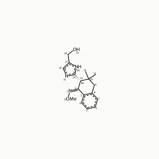 CON=C1c2ccccc2CC(C)(C)[C@H]1c1ncc(CO)[nH]1